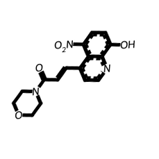 O=C(/C=C/c1ccnc2c(O)ccc([N+](=O)[O-])c12)N1CCOCC1